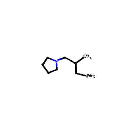 CCCC(C)CC(C)CN1CCCC1